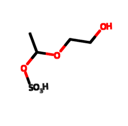 CC(OCCO)OS(=O)(=O)O